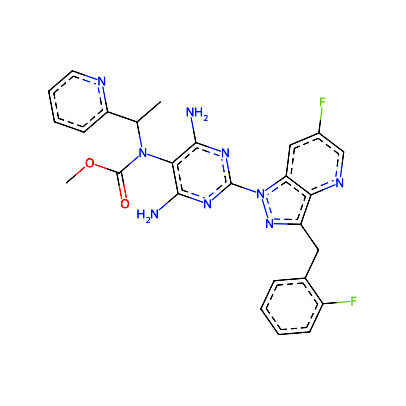 COC(=O)N(c1c(N)nc(-n2nc(Cc3ccccc3F)c3ncc(F)cc32)nc1N)C(C)c1ccccn1